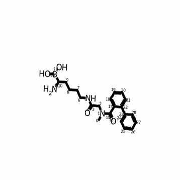 CN(CC(=O)NCCCCC(N)B(O)O)C(=O)c1ccccc1-c1ccccc1